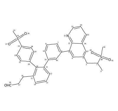 CC(Cc1cc(-c2cccc(-c3cccc(CCC=O)c3-c3ccc(S(C)(=O)=O)cc3)c2)c2ncccc2c1)S(C)(=O)=O